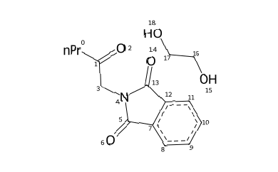 CCCC(=O)CN1C(=O)c2ccccc2C1=O.OCCO